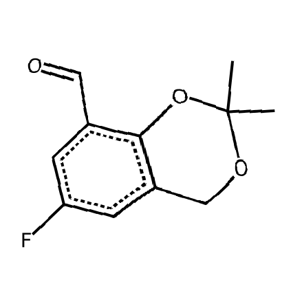 CC1(C)OCc2cc(F)cc(C=O)c2O1